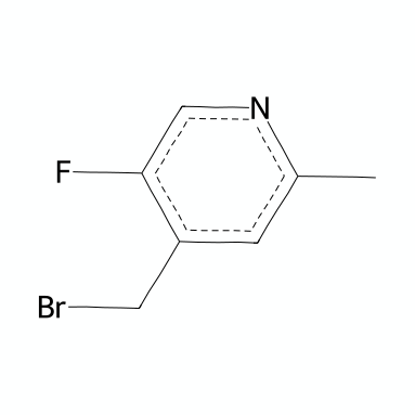 Cc1cc(CBr)c(F)cn1